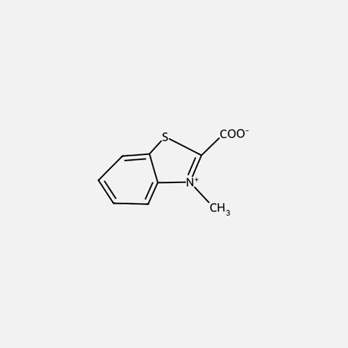 C[n+]1c(C(=O)[O-])sc2ccccc21